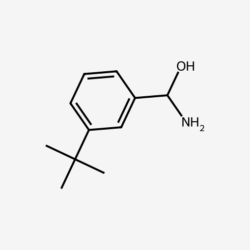 CC(C)(C)c1cccc(C(N)O)c1